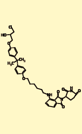 CC(C)(c1ccc(OCCCCCCNc2cccc3c2C(=O)N(C2CCC(=O)NC2=O)C3=O)cc1)c1ccc(OCC(O)CCl)cc1